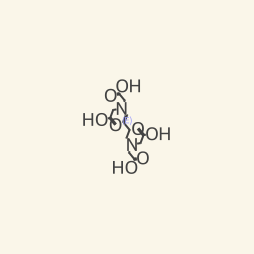 O=C(O)CN(/C=C/CCN(CC(=O)O)CC(=O)O)CC(=O)O